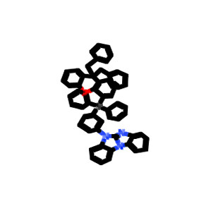 c1ccc(CC2(Cc3ccccc3)c3ccccc3Oc3c2cccc3[Si](c2ccccc2)(c2ccccc2)c2cccc(-n3c4ccccc4n4c5ccccc5nc34)c2)cc1